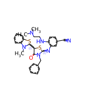 CN(C)CCNc1ccc(C#N)cc1/N=C1\S/C(=C2\Sc3ccccc3N2C)C(=O)N1Cc1ccccc1